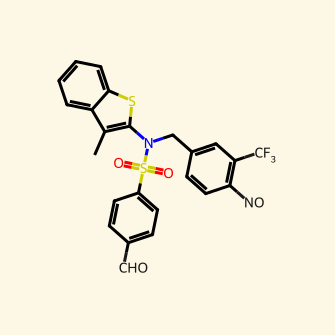 Cc1c(N(Cc2ccc(N=O)c(C(F)(F)F)c2)S(=O)(=O)c2ccc(C=O)cc2)sc2ccccc12